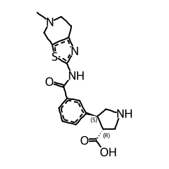 CN1CCc2nc(NC(=O)c3cccc([C@H]4CNC[C@@H]4C(=O)O)c3)sc2C1